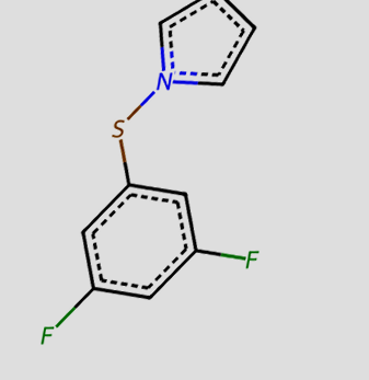 Fc1cc(F)cc(Sn2cccc2)c1